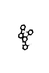 Nc1cccc2sc3ccc(-c4ccccc4-n4c5ccccc5c5ccccc54)cc3c12